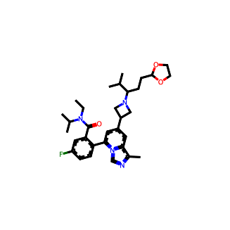 CCN(C(=O)c1cc(F)ccc1-c1cc(C2CN(C(CCC3OCCO3)C(C)C)C2)cc2c(C)ncn12)C(C)C